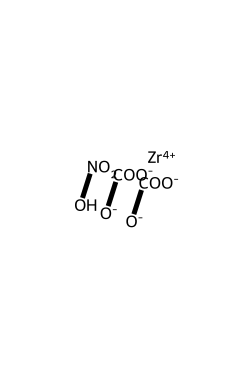 O=C([O-])[O-].O=C([O-])[O-].O=[N+]([O-])O.[Zr+4]